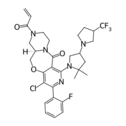 C=CC(=O)N1CCN2C(=O)c3c(N4CC(N5CCC(C(F)(F)F)C5)CC4(C)C)nc(-c4ccccc4F)c(Cl)c3OC[C@H]2C1